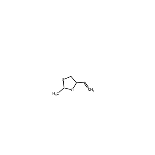 C=CC1CS[C](C)O1